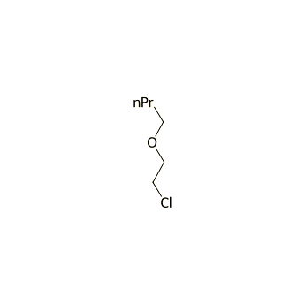 CCCCOCCCl